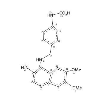 COc1cc2ncc(N)c(NCc3ccc(NC(=O)O)cc3)c2cc1OC